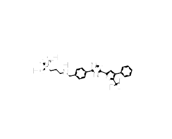 COP(=O)(O)CCCNCc1ccc(-c2noc(-c3cc(-c4ccccc4)c(C(F)(F)F)s3)n2)cc1